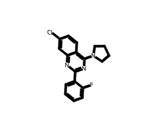 Fc1ccccc1-c1nc(N2CCCC2)c2ccc(Cl)cc2n1